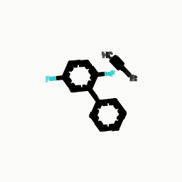 C#CCC.Fc1ccc(F)c(-c2ccccc2)c1